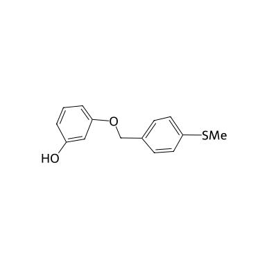 CSc1ccc(COc2cccc(O)c2)cc1